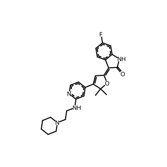 CC1(C)OC(=C2C(=O)Nc3cc(F)ccc32)C=C1c1ccnc(NCCN2CCCCC2)c1